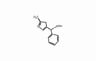 CNC(C1=CN=C(C)C1)c1ccccc1